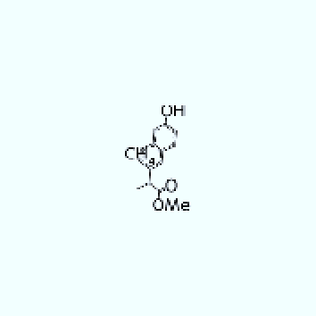 C.COC(=O)C(C)c1ccc2cc(O)ccc2c1